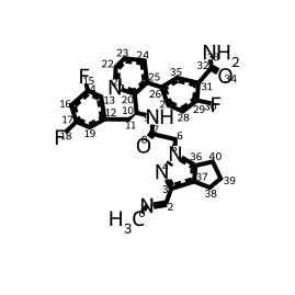 C/N=C/c1nn(CC(=O)N[C@@H](Cc2cc(F)cc(F)c2)c2ncccc2-c2ccc(F)c(C(N)=O)c2)c2c1CCC2